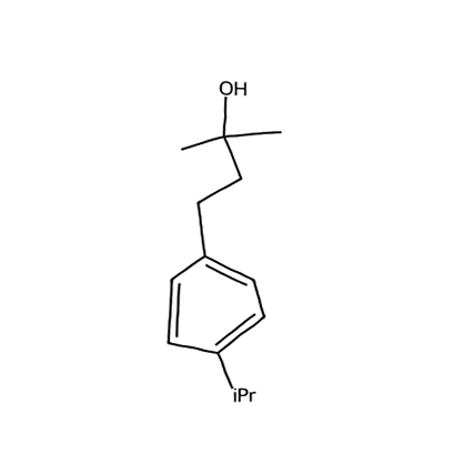 CC(C)c1ccc(CCC(C)(C)O)cc1